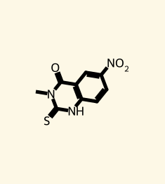 Cn1c(=S)[nH]c2ccc([N+](=O)[O-])cc2c1=O